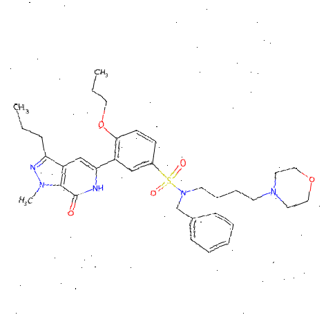 CCCOc1ccc(S(=O)(=O)N(CCCCN2CCOCC2)Cc2ccccc2)cc1-c1cc2c(CCC)nn(C)c2c(=O)[nH]1